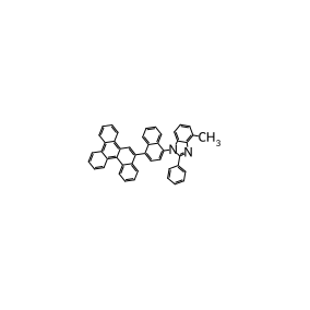 Cc1cccc2c1nc(-c1ccccc1)n2-c1ccc(-c2cc3c4ccccc4c4ccccc4c3c3ccccc23)c2ccccc12